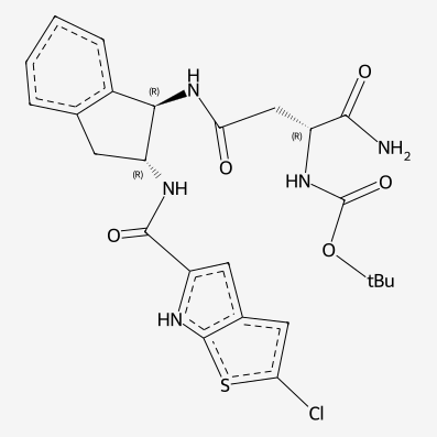 CC(C)(C)OC(=O)N[C@H](CC(=O)N[C@@H]1c2ccccc2C[C@H]1NC(=O)c1cc2cc(Cl)sc2[nH]1)C(N)=O